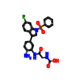 Nc1ccc(-c2cn(S(=O)(=O)c3ccccc3)c3cc(F)ccc23)cc1NC(=O)CNC(=O)O